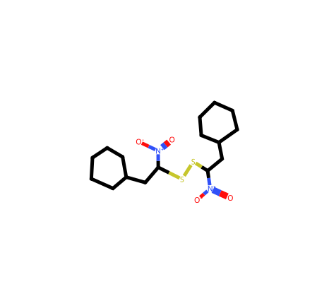 O=[N+]([O-])C(CC1CCCCC1)SSC(CC1CCCCC1)[N+](=O)[O-]